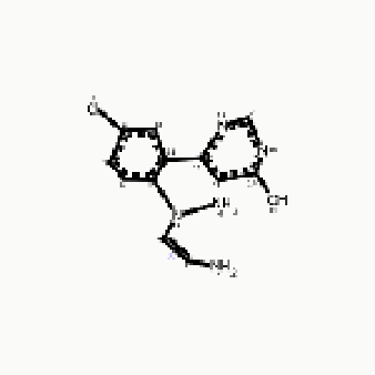 N/C=C\N(N)c1ccc(Cl)cc1-c1cc(O)ncn1